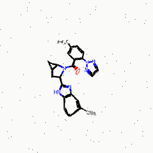 COc1ccc2[nH]c(C3CC4CC4N3C(=O)c3cc(C)ccc3-n3nccn3)nc2c1